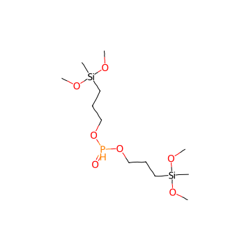 CO[Si](C)(CCCO[PH](=O)OCCC[Si](C)(OC)OC)OC